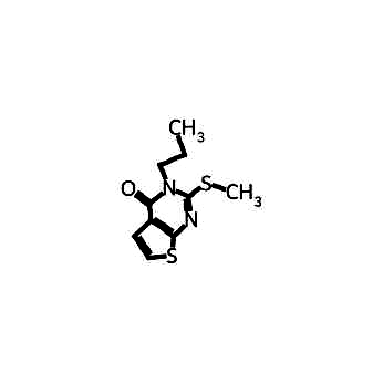 CCCn1c(SC)nc2sccc2c1=O